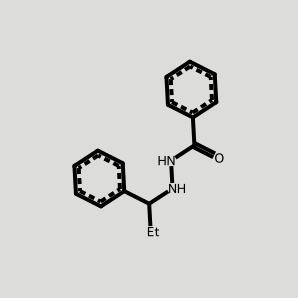 CCC(NNC(=O)c1ccccc1)c1ccccc1